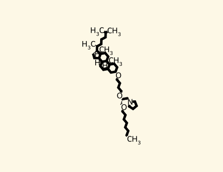 CCCCCCCCOC[C@@H](CN1CCCC1)OCCCCO[C@H]1CC[C@@]2(C)C(=CC[C@H]3[C@@H]4CC[C@H]([C@H](C)CCCC(C)C)[C@@]4(C)CC[C@@H]32)C1